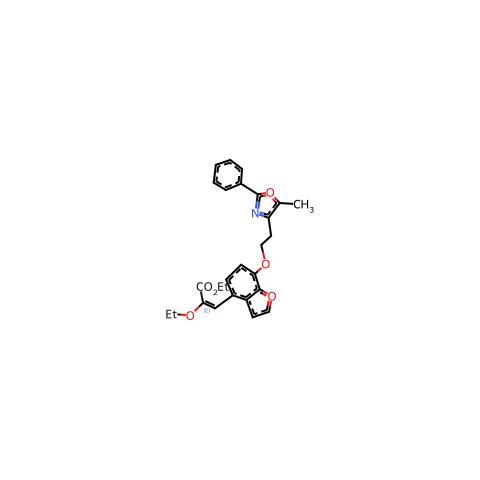 CCOC(=O)/C(=C\c1ccc(OCCc2nc(-c3ccccc3)oc2C)c2occc12)OCC